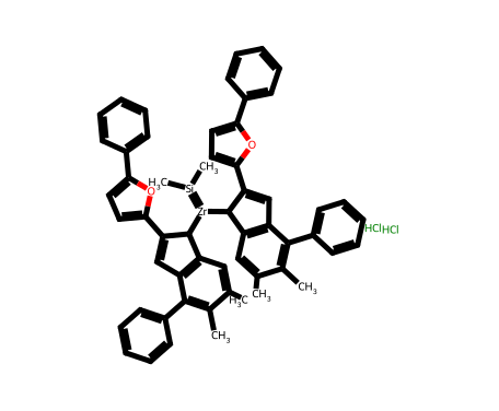 Cc1cc2c(c(-c3ccccc3)c1C)C=C(c1ccc(-c3ccccc3)o1)[CH]2[Zr]([CH]1C(c2ccc(-c3ccccc3)o2)=Cc2c1cc(C)c(C)c2-c1ccccc1)=[Si](C)C.Cl.Cl